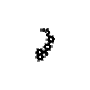 O=C(O)COc1cccc(C2=CCN(C(=O)c3cccc4ccccc34)CC2)c1